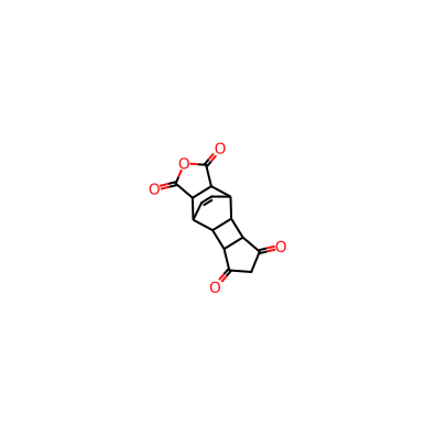 O=C1OC(=O)C2C3C=CC(C12)C1C2C(=O)CC(=O)C2C31